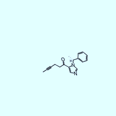 CC#CCCC(=O)c1cncn1[C@H](C)c1ccccc1